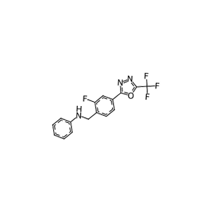 Fc1cc(-c2nnc(C(F)(F)F)o2)ccc1CNc1ccccc1